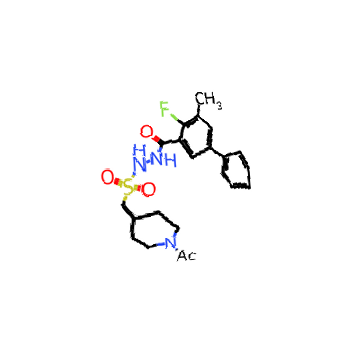 CC(=O)N1CCC(CS(=O)(=O)NNC(=O)c2cc(-c3ccccc3)cc(C)c2F)CC1